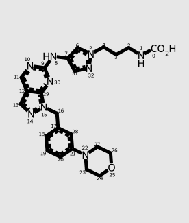 O=C(O)NCCCn1cc(Nc2ncc3cnn(Cc4cccc(N5CCOCC5)c4)c3n2)cn1